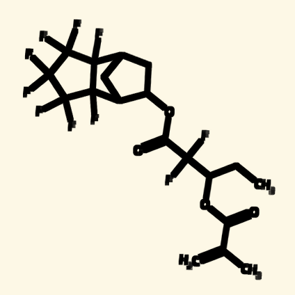 C=C(C)C(=O)OC(CC)C(F)(F)C(=O)OC1CC2CC1C1(F)C(F)(F)C(F)(F)C(F)(F)C21F